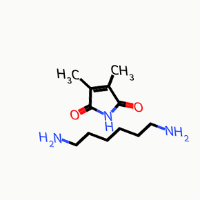 CC1=C(C)C(=O)NC1=O.NCCCCCCN